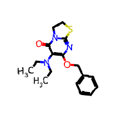 CCN(CC)c1c(OCc2ccccc2)nc2n(c1=O)CCS2